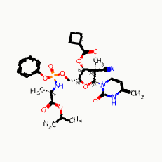 C=C1C=CN([C@@H]2O[C@H](COP(=O)(N[C@@H](C)C(=O)OC(C)C)Oc3ccccc3)[C@@H](OC(=O)C3CCC3)[C@@]2(C)C#N)C(=O)N1